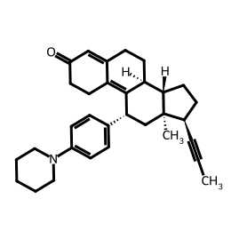 CC#C[C@@H]1CC[C@H]2[C@@H]3CCC4=CC(=O)CCC4=C3[C@@H](c3ccc(N4CCCCC4)cc3)C[C@]12C